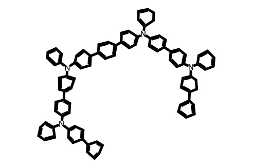 C1=CCCC(N(c2ccc(-c3ccc(-c4ccc(N(c5ccccc5)c5ccc(-c6ccc(N(c7ccccc7)c7ccc(-c8ccccc8)cc7)cc6)cc5)cc4)cc3)cc2)c2ccc(-c3ccc(N(C4=CC=C(c5ccccc5)CC4)c4ccccc4)cc3)cc2)=C1